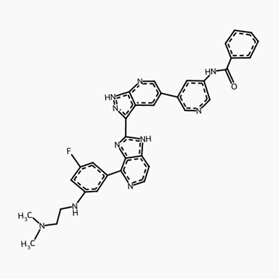 CN(C)CCNc1cc(F)cc(-c2nccc3[nH]c(-c4n[nH]c5ncc(-c6cncc(NC(=O)c7ccccc7)c6)cc45)nc23)c1